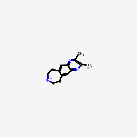 Cc1nc2cc3c(cc2nc1C)CCNCC3